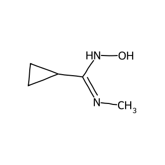 CN=C(NO)C1CC1